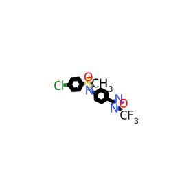 CS(=O)(=Nc1ccc(-c2noc(C(F)(F)F)n2)cc1)c1ccc(Cl)cc1